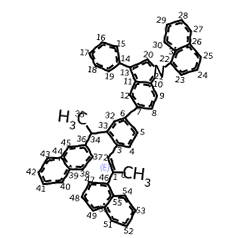 C/C(=C\c1ccc(-c2ccc3c(c2)c(-c2ccccc2)cn3-c2cccc3ccccc23)cc1C(C)c1ccc2ccccc2c1)c1cccc2ccccc12